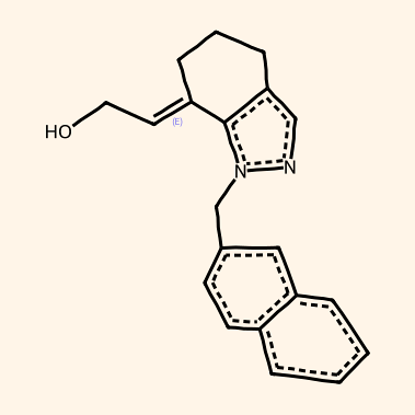 OC/C=C1\CCCc2cnn(Cc3ccc4ccccc4c3)c21